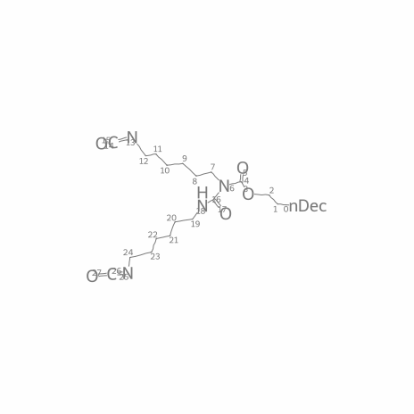 CCCCCCCCCCCCOC(=O)N(CCCCCCN=C=O)C(=O)NCCCCCCN=C=O